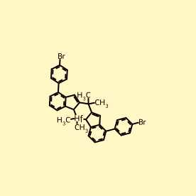 CC1(C)C2=Cc3c(-c4ccc(Br)cc4)cccc3[CH]2[Hf]([CH3])([CH3])[CH]2C1=Cc1c(-c3ccc(Br)cc3)cccc12